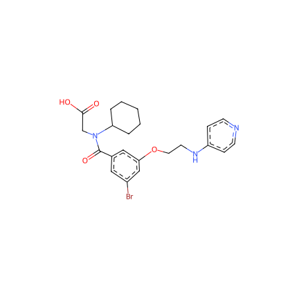 O=C(O)CN(C(=O)c1cc(Br)cc(OCCNc2ccncc2)c1)C1CCCCC1